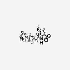 COc1ccc(C(=O)Cl)c2[nH]c(Cc3ccc(-c4cccnc4)cc3)nc12